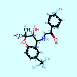 CC1(C)Oc2ccc(C(F)(F)F)cc2C(NCC(=O)c2ccc(F)cc2)C1O